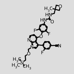 CC1(CNC(=O)Nc2cc(F)c(Oc3ccnc4c3c(-c3ccc(C#N)cc3F)cn4COCC[Si](C)(C)C)c(F)c2)COC1